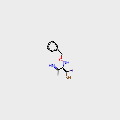 CC(=N)/C(NOCc1ccccc1)=C(\S)I